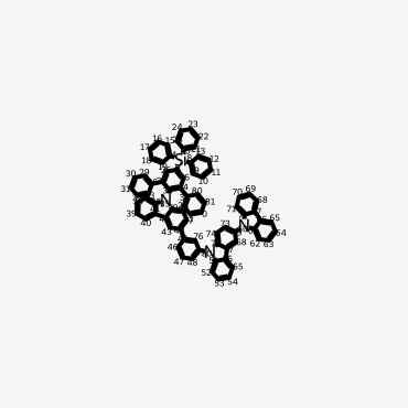 c1ccc(-c2cc([Si](c3ccccc3)(c3ccccc3)c3ccccc3)cc(-c3ccccc3)c2-n2c3ccccc3c3cc(-c4cccc(-n5c6ccccc6c6cc(-n7c8ccccc8c8ccccc87)ccc65)c4)ccc32)cc1